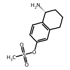 CS(=O)(=O)Oc1ccc2c(c1)CCC[C@H]2N